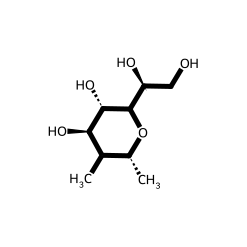 CC1[C@@H](O)[C@H](O)C([C@@H](O)CO)O[C@@H]1C